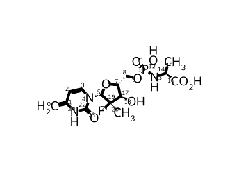 C=C1C=CN([C@@H]2O[C@H](COP(=O)(O)N[C@@H](C)C(=O)O)[C@@H](O)[C@@]2(C)F)C(=O)N1